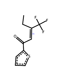 CC/C(=C\C(=O)c1cccs1)C(F)(F)F